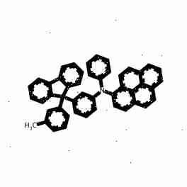 Cc1cccc(C2(c3cccc(N(c4ccccc4)c4ccc5ccc6cccc7ccc4c5c67)c3)c3ccccc3-c3ccccc32)c1